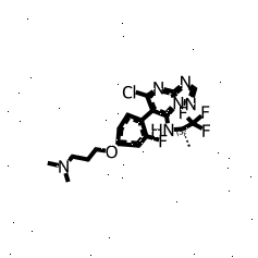 C[C@H](Nc1c(-c2ccc(OCCCN(C)C)cc2F)c(Cl)nc2ncnn12)C(F)(F)F